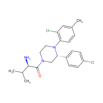 Cc1ccc(N2CCN(C(=O)[C@H](N)C(C)C)C[C@H]2c2ccc(Cl)cc2)c(Cl)c1